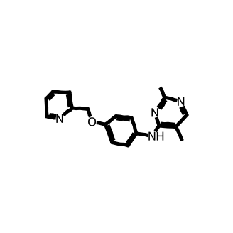 Cc1ncc(C)c(Nc2ccc(OCc3ccccn3)cc2)n1